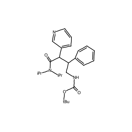 CC(C)N(C(=O)C(c1cccnc1)C(CNC(=O)OC(C)(C)C)c1ccccc1)C(C)C